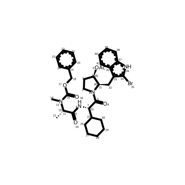 CC(=O)O[C@@H]1CCN(C(=O)[C@@H](NC(=O)[C@H](C)N(C)C(=O)OCc2ccccc2)C2CCCCC2)[C@@H]1Cc1c(Br)[nH]c2ccccc12